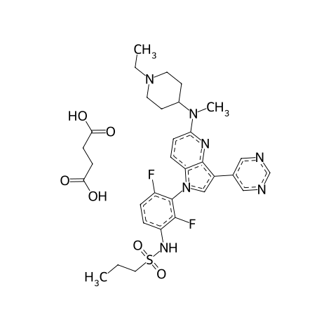 CCCS(=O)(=O)Nc1ccc(F)c(-n2cc(-c3cncnc3)c3nc(N(C)C4CCN(CC)CC4)ccc32)c1F.O=C(O)CCC(=O)O